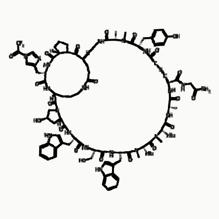 CCCC[C@H]1C(=O)N(C)[C@@H](CCCC)C(=O)N[C@@H](C)C(=O)N[C@H](C(=O)NCC(N)=O)CSCC(=O)N[C@@H](Cc2ccc(O)cc2)C(=O)N(C)[C@@H](C)C(=O)N[C@H]2CCC(=O)NCCC[C@@H](NC(=O)[C@H](Cc3cn(C(=O)C(F)(F)F)cn3)NC(=O)[C@@H]3CCCC3C2=O)C(=O)N2C[C@H](O)C[C@H]2C(=O)N[C@@H](Cc2c[nH]c3ccccc23)C(=O)N[C@@H](CO)C(=O)N[C@@H](Cc2c[nH]c3ccccc23)C(=O)N1C